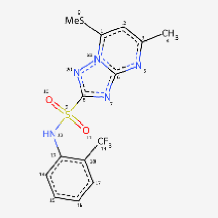 CSc1cc(C)nc2nc(S(=O)(=O)Nc3ccccc3C(F)(F)F)nn12